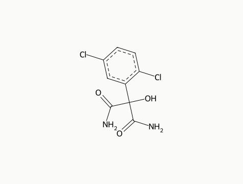 NC(=O)C(O)(C(N)=O)c1cc(Cl)ccc1Cl